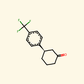 O=C1CCC[C@@H](c2ccc(C(F)(F)F)cc2)C1